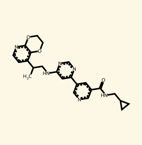 CC(CNc1cc(-c2cncc(C(=O)NCC3CC3)c2)ncn1)c1ccnc2c1OCCO2